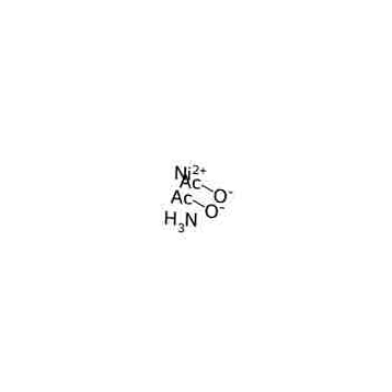 CC(=O)[O-].CC(=O)[O-].N.[Ni+2]